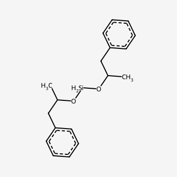 CC(Cc1ccccc1)O[SiH2]OC(C)Cc1ccccc1